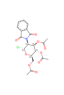 CC(=O)OC[C@H]1O[C@H](Cl)[C@@H](N2C(=O)c3ccccc3C2=O)[C@@H](OC(C)=O)[C@@H]1OC(C)=O